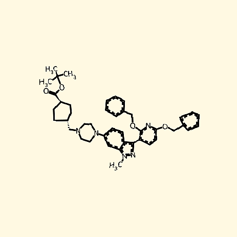 Cn1nc(-c2ccc(OCc3ccccc3)nc2OCc2ccccc2)c2ccc(N3CCN(C[C@H]4CC[C@H](C(=O)OC(C)(C)C)CC4)CC3)cc21